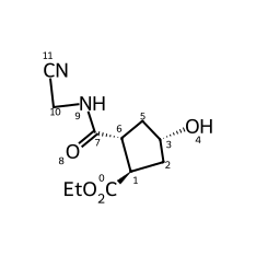 CCOC(=O)[C@@H]1C[C@@H](O)C[C@H]1C(=O)NCC#N